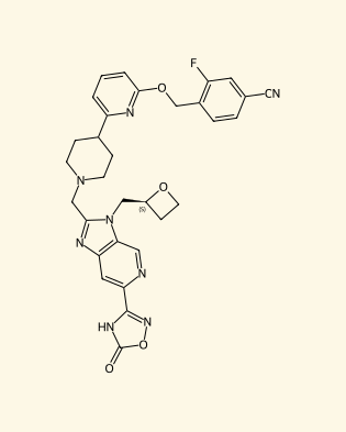 N#Cc1ccc(COc2cccc(C3CCN(Cc4nc5cc(-c6noc(=O)[nH]6)ncc5n4C[C@@H]4CCO4)CC3)n2)c(F)c1